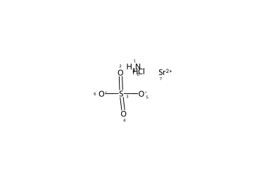 Cl.N.O=S(=O)([O-])[O-].[Sr+2]